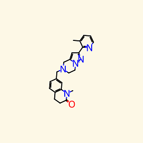 Cc1cccnc1-c1cc2n(n1)CCN(Cc1ccc3c(c1)N(C)C(=O)CC3)C2